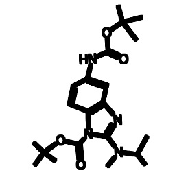 CC(C)N(C)c1nc2cc(NC(=O)OC(C)(C)C)ccc2n1C(=O)OC(C)(C)C